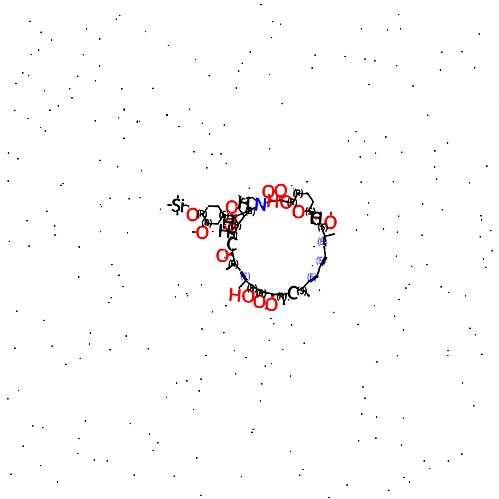 CO[C@H]1C[C@@H]2CC[C@@H](C)[C@@](O)(O2)C(=O)C(=O)N2CCCC3[C@H]2C(=O)O[C@@H](CC(=O)[C@H](C)/C=C(\C)[C@@H](O)[C@@H](OC)C(=O)[C@H](C)C[C@H](C)/C=C/C=C/C=C/1C)[C@H]3C[C@@H]1CC[C@@H](OC[Si](C)(C)C)[C@H](OC)C1